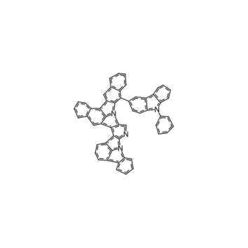 c1ccc(-n2c3ccccc3c3cc(-c4c5ccccc5cc5c6c7ccccc7cc7c8c9c%10cccc%11c%12ccccc%12n(c9ncc8n(c45)c76)c%11%10)ccc32)cc1